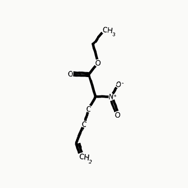 C=CCCC(C(=O)OCC)[N+](=O)[O-]